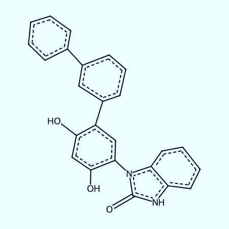 O=c1[nH]c2ccccc2n1-c1cc(-c2cccc(-c3ccccc3)c2)c(O)cc1O